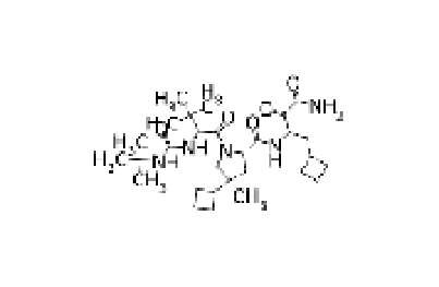 CC(C)(C)NC(=O)N[C@H](C(=O)N1C[C@](C)(C2CCC2)C[C@H]1C(=O)NC(CC1CCC1)C(=O)C(N)=O)C(C)(C)C